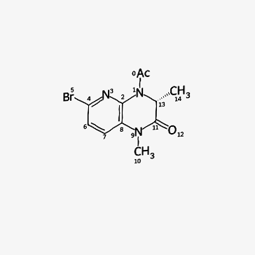 CC(=O)N1c2nc(Br)ccc2N(C)C(=O)[C@H]1C